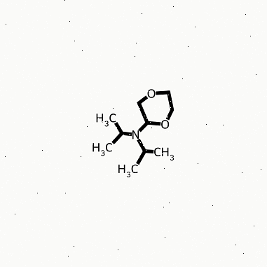 CC(C)N(C(C)C)C1COCCO1